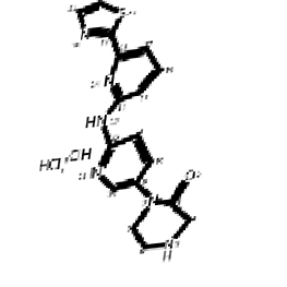 Cl.Cl.O=C1CNCCN1c1ccc(Nc2cccc(-c3nccs3)n2)nc1